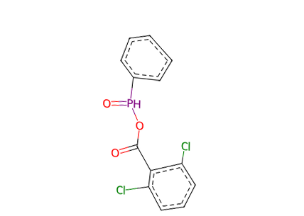 O=C(O[PH](=O)c1ccccc1)c1c(Cl)cccc1Cl